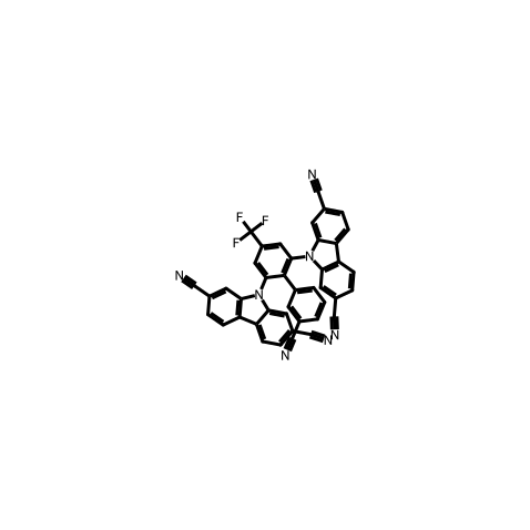 N#Cc1cccc(-c2c(-n3c4cc(C#N)ccc4c4ccc(C#N)cc43)cc(C(F)(F)F)cc2-n2c3cc(C#N)ccc3c3ccc(C#N)cc32)c1